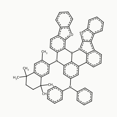 Cc1cc2c(cc1N1c3cc(N(c4ccccc4)c4ccccc4)cc4c3B(c3c1ccc1c3oc3ccccc31)n1c3sc5ccccc5c3c3cccc-4c31)C(C)(C)CCC2(C)C